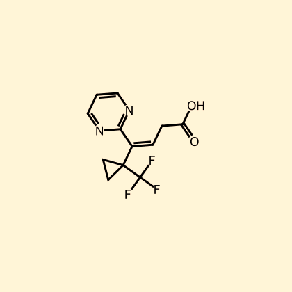 O=C(O)C/C=C(\c1ncccn1)C1(C(F)(F)F)CC1